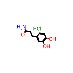 Cl.NC(=O)CCc1ccc(O)c(O)c1